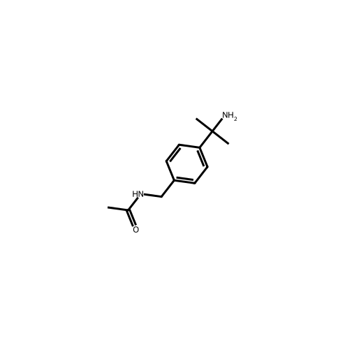 CC(=O)NCc1ccc(C(C)(C)N)cc1